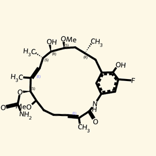 COC1CC/C=C(\C)C(=O)Nc2cc(F)c(O)c(c2)C[C@@H](C)C[C@H](OC)[C@H](O)[C@@H](C)/C=C(\C)[C@@H]1OC(N)=O